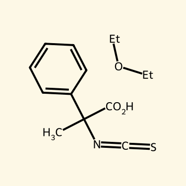 CC(N=C=S)(C(=O)O)c1ccccc1.CCOCC